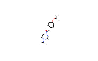 CC(C)O[C@H]1CC[C@H](CC(=O)N2CCN(C(C)C)CC2)CC1